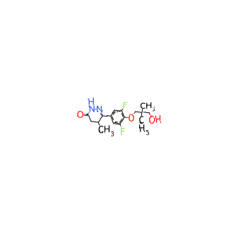 CC1CC(=O)NN=C1c1cc(F)c(OCC(C)(C)CO)c(F)c1